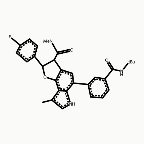 CNC(=O)C1c2cc(-c3cccc(C(=O)NC(C)(C)C)c3)c3[nH]cc(C)c3c2OC1c1ccc(F)cc1